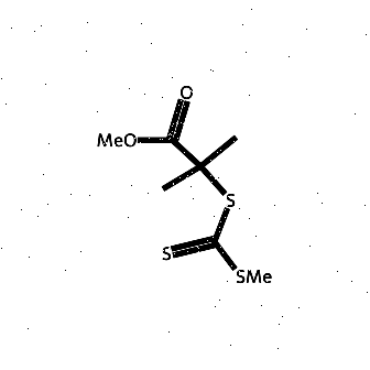 COC(=O)C(C)(C)SC(=S)SC